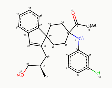 COC(=O)C1(Nc2cccc(Cl)c2)CCC2(CC1)C(C[C@@H](C)CO)=Cc1ccccc12